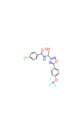 O=C(NC(CO)c1noc(-c2ccc(OC(F)(F)F)cc2)n1)c1ccc(Cl)cc1